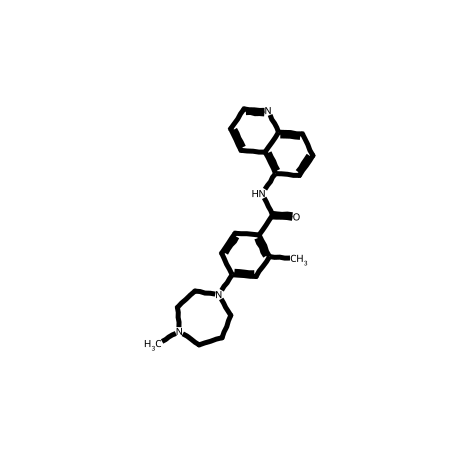 Cc1cc(N2CCCN(C)CC2)ccc1C(=O)Nc1cccc2ncccc12